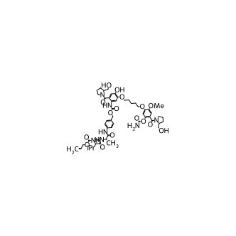 C=CCOC(=O)NC(C(=O)NC(C)C(=O)Nc1ccc(COC(=O)Nc2cc(OCCCCCOc3cc(OC(N)=O)c(C(=O)N4CCCC4CO)cc3OC)c(O)cc2C(=O)N2CCCC2CO)cc1)C(C)C